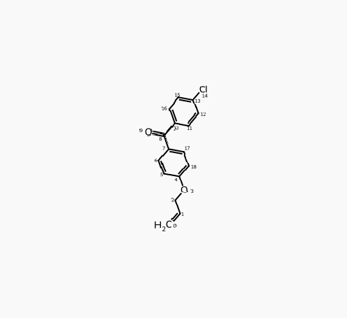 C=CCOc1ccc(C(=O)c2ccc(Cl)cc2)cc1